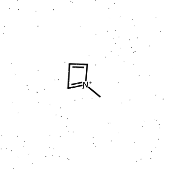 C[N+]1=CC=C1